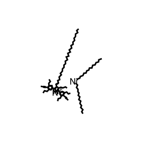 CC#Cc1c(CCC)cc(C2=C(C=CCCCCCCCCCCCCCCCCCCCCCCCCCCCC)C(CCCC)=C(c3cc(CCC)c(C#CC)c(CCC)c3)[N+]2=[N-])cc1CCC.CCCCCCCCCCCCCCC[CH2][Ni][CH2]CCCCCCCCCCCCCCC